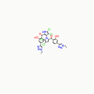 CCn1cc(-c2ccc(C(=O)c3[nH]c(Cl)c(Cl)c3-n3c(C(=O)c4ccc(-c5cn(CC)nn5)cc4O)cc(Cl)c3Cl)c(O)c2)nn1